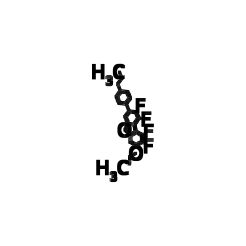 CCCOc1cc2oc3cc(-c4ccc(CCC)cc4)c(F)c(F)c3c2c(F)c1F